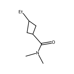 CCC1CC(C(=O)N(C)C)C1